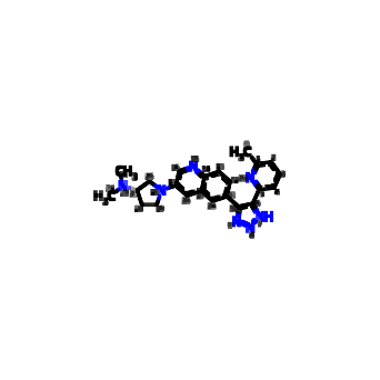 Cc1cccc(-c2[nH]nnc2-c2ccc3ncc(N4CC[C@H](N(C)C)C4)cc3c2)n1